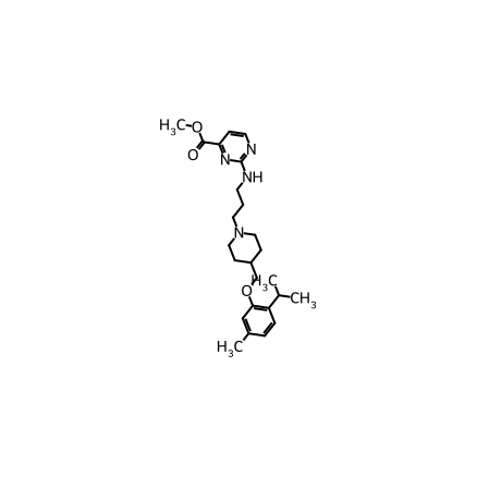 COC(=O)c1ccnc(NCCCN2CCC(COc3cc(C)ccc3C(C)C)CC2)n1